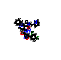 CN(CCc1ccccn1)C(=O)C1CN(C2CCCCC2)CCC1NC(=O)c1cc(-c2ccc(F)cc2F)on1